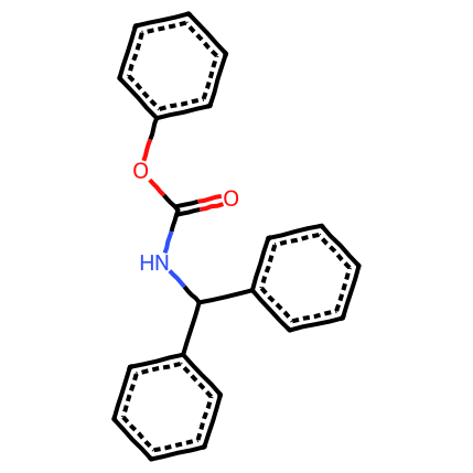 O=C(NC(c1ccccc1)c1ccccc1)Oc1ccccc1